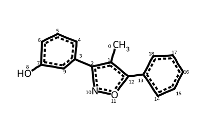 Cc1c(-c2cccc(O)c2)noc1-c1ccccc1